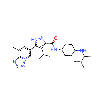 Cc1cc(-c2[nH]nc(C(=O)N[C@H]3CC[C@H](NC(C)C(C)C)CC3)c2C(C)C)cn2ncnc12